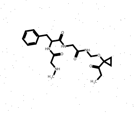 CCC(=O)C1(OCNC(=O)CNC(=O)C(Cc2ccccc2)NC(=O)CNC)CC1